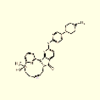 CN1CCN(c2ccc(Nc3ncc4c(=O)n5n(c4n3)-c3cccc(n3)[C@@](C)(O)CC/C=C\C5)cc2)CC1